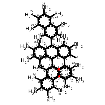 Bc1c(B)c(B)c(-c2c(C)c(B)c(B)c3c(-c4c(B)c(B)c5c(B)c(B)c(B)c(B)c5c4B)c4c(B)c(B)c(B)c(B)c4c(-c4c(B)c(B)c5c(B)c(B)c(B)c(B)c5c4B)c23)c(B)c1B